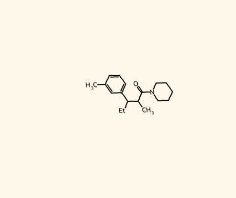 CCC(c1cccc(C)c1)C(C)C(=O)N1CCCCC1